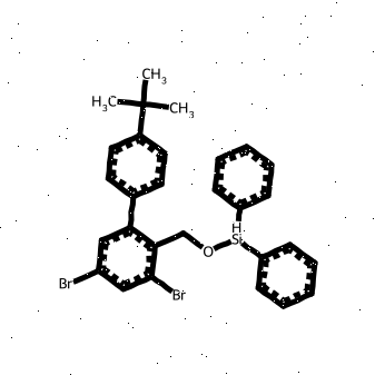 CC(C)(C)c1ccc(-c2cc(Br)cc(Br)c2CO[SiH](c2ccccc2)c2ccccc2)cc1